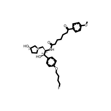 COc1ccc(C(=O)CCCCCC(=O)N[C@H](CN2CC[C@H](O)C2)[C@H](O)c2ccc(OCCCCF)cc2)cc1